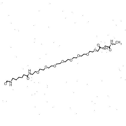 CCNC(=O)CNC(=O)COCCOCCOCCOCCOCCOCCOCCOCCNC(=O)CCCCCNC=O